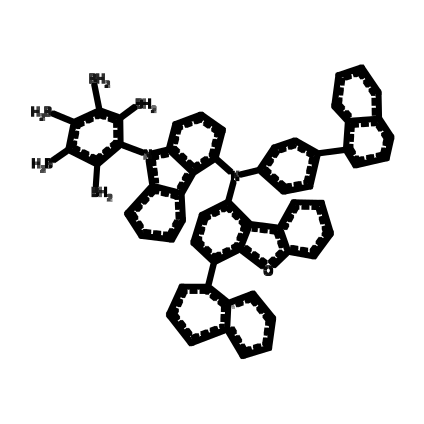 Bc1c(B)c(B)c(-n2c3ccccc3c3c(N(c4ccc(-c5cccc6ccccc56)cc4)c4ccc(-c5cccc6ccccc56)c5oc6ccccc6c45)cccc32)c(B)c1B